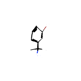 CC(N)(C#N)c1cccc(Br)c1